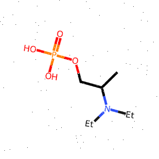 CCN(CC)C(C)COP(=O)(O)O